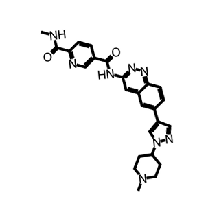 CNC(=O)c1ccc(C(=O)Nc2cc3cc(-c4cnn(C5CCN(C)CC5)c4)ccc3nn2)cn1